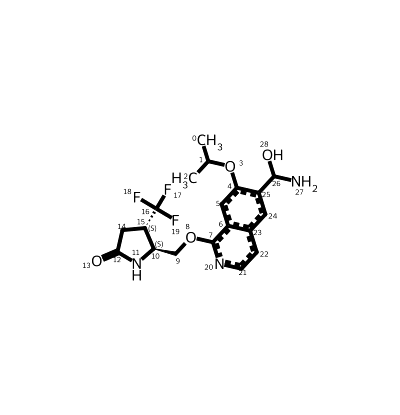 CC(C)Oc1cc2c(OC[C@H]3NC(=O)C[C@@H]3C(F)(F)F)nccc2cc1C(N)O